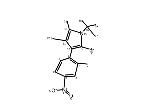 Cc1cc([N+](=O)[O-])ccc1-c1c(I)c(C)n(C(C)(C)C)c1Br